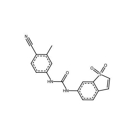 Cc1cc(NC(=O)Nc2ccc3c(c2)S(=O)(=O)C=C3)ccc1C#N